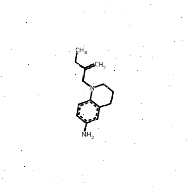 C=C(CC)CN1CCCc2cc(N)ccc21